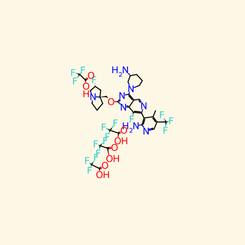 Cc1c(C(F)(F)F)cnc(N)c1-c1ncc2c(N3CCC[C@H](N)C3)nc(OC[C@@]34CCCN3C[C@H](F)C4)nc2c1F.O=C(O)C(F)(F)F.O=C(O)C(F)(F)F.O=C(O)C(F)(F)F.O=C(O)C(F)(F)F